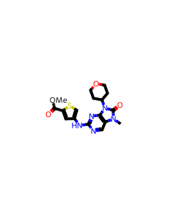 COC(=O)c1cc(Nc2ncc3c(n2)n(C2CCOCC2)c(=O)n3C)cs1